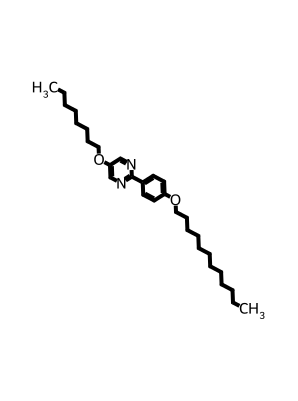 CCCCCCCCCCCCOc1ccc(-c2ncc(OCCCCCCCC)cn2)cc1